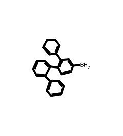 Bc1ccc(-c2ccccc2-c2ccccc2)c(C2=CCCC=C2)c1